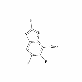 COc1c(F)c(F)cc2sc(Br)nc12